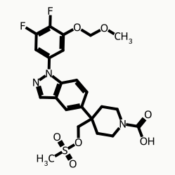 COCOc1cc(-n2ncc3cc(C4(COS(C)(=O)=O)CCN(C(=O)O)CC4)ccc32)cc(F)c1F